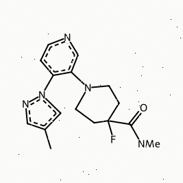 CNC(=O)C1(F)CCN(c2cnccc2-n2cc(C)cn2)CC1